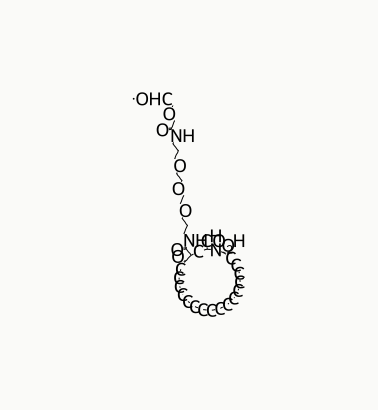 O=[C]COCC(=O)NCCCOCCOCCOCCCNC(=O)C1C[C@@H](C(=O)O)NC(=O)CCCCCCCCCCCCCCCCC1=O